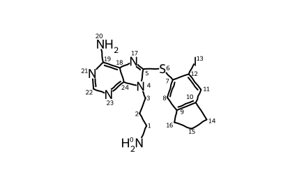 NCCCn1c(Sc2cc3c(cc2I)CCC3)nc2c(N)ncnc21